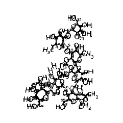 CCC1O[C@@H](CO[C@@H]2C(OC(C)=O)[C@H](CO[C@@H]3C(CO)O[C@@H](CO[C@H]4C(NC(C)=O)[C@@H](OC)OC(CO)[C@@H]4OC[C@@H]4OC(C)[C@H](O)[C@H](O)C4OCC[C@H]4OC(CO)[C@@H](O)[C@@H](O)C4NC(C)=O)C(O)[C@@H]3O)OC(C)[C@@H]2O)C(OC[C@@H]2OC(CO)[C@H](O)[C@@H](O)C2O)[C@H](O)[C@H]1O